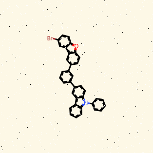 Brc1ccc2oc3ccc(-c4cccc(-c5ccc6c(c5)c5ccccc5n6-c5ccccc5)c4)cc3c2c1